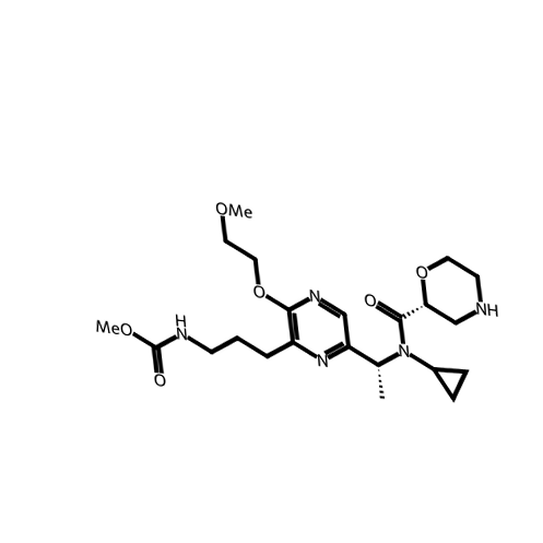 COCCOc1ncc([C@@H](C)N(C(=O)[C@H]2CNCCO2)C2CC2)nc1CCCNC(=O)OC